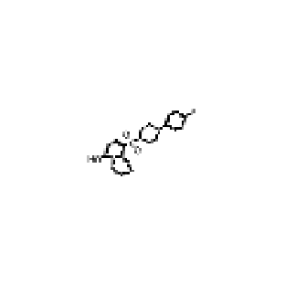 O=S(=O)(c1ccc(O)c2ncccc12)C1CCN(c2ccc(F)cc2)CC1